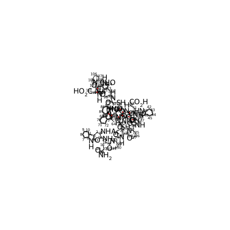 CC(=O)N[C@@H](Cc1c[nH]c2ccccc12)C(=O)N[C@@H](CCC(N)=O)C1=N[C@H](C(=O)N[C@@H](CS)C2=NC(C(=O)N[C@@H](Cc3c[nH]c4ccccc34)C(=O)N[C@@H](CCC(=O)O)C(=O)N[C@@H](CO)C(=O)N[C@@H](Cc3c[nH]c4ccccc34)C(=O)N[C@H](C(=O)N[C@@H](Cc3ccccc3)C(=O)NC(S)C(=O)N[C@@H](CON[C@@H](CON3CCC[C@@H]3C=O)CC(=O)O)Cc3c[nH]c4ccccc34)C(C)O)CCCO2)CCCO1